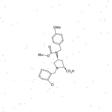 COc1ccc(CN(C(=O)OC(C)(C)C)[C@H]2C[C@@H](C(=O)O)N(Cc3ccccc3Cl)C2)cc1